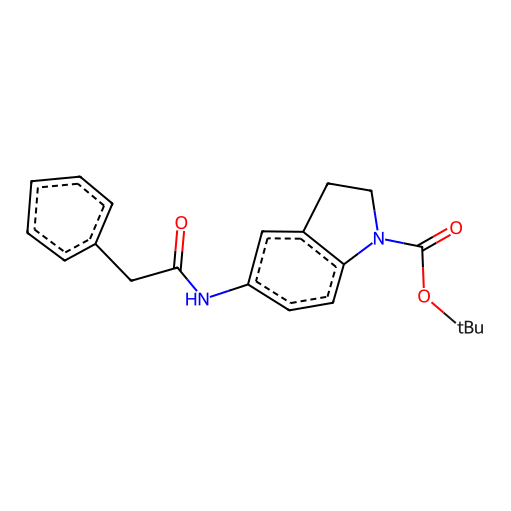 CC(C)(C)OC(=O)N1CCc2cc(NC(=O)Cc3ccccc3)ccc21